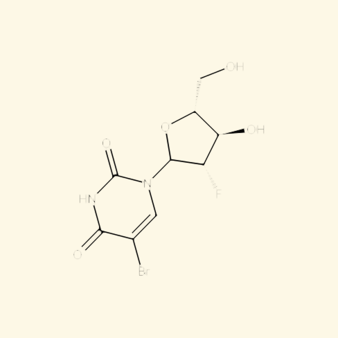 O=c1[nH]c(=O)n(C2O[C@H](CO)[C@@H](O)[C@@H]2F)cc1Br